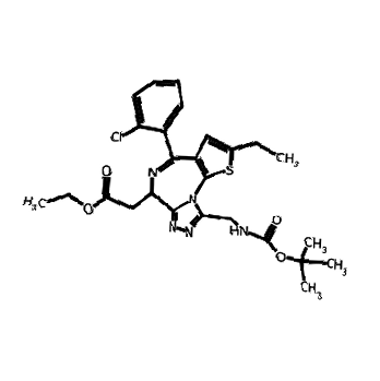 CCOC(=O)CC1N=C(c2ccccc2Cl)c2cc(CC)sc2-n2c(CNC(=O)OC(C)(C)C)nnc21